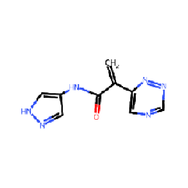 C=C(C(=O)Nc1cn[nH]c1)c1cncnn1